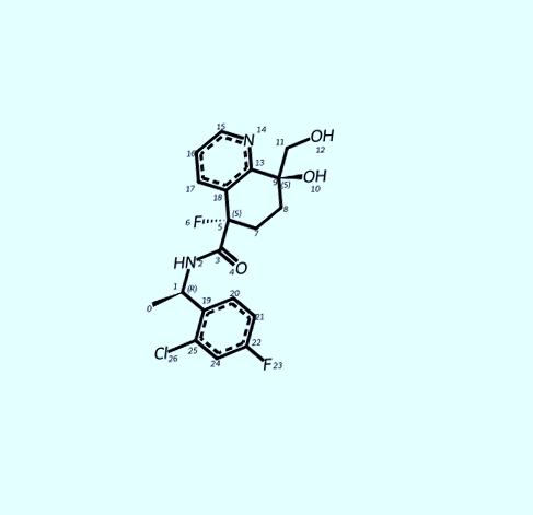 C[C@@H](NC(=O)[C@]1(F)CC[C@@](O)(CO)c2ncccc21)c1ccc(F)cc1Cl